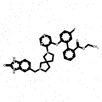 CCOC(=O)c1ccccc1-c1cc(F)ccc1Oc1cncnc1N1CCC2(CCN(Cc3ccc4[nH]c(=O)[nH]c4c3)C2)C1